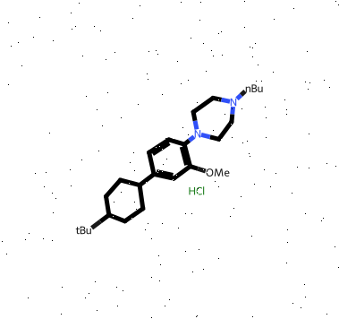 CCCCN1CCN(c2ccc(C3CCC(C(C)(C)C)CC3)cc2OC)CC1.Cl